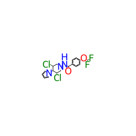 O=C(NN1CC(Cl)C(n2cccc2)C(Cl)C1)c1ccc(OC(F)F)cc1